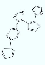 c1ccc(-c2ccc(-c3ccsc3-c3ccsc3-c3cccs3)cc2)cc1